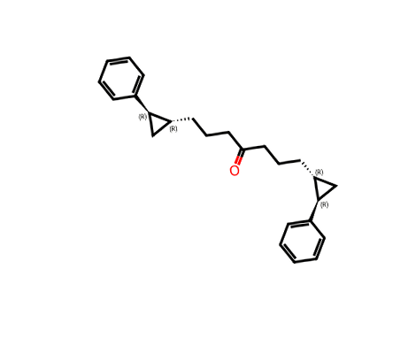 O=C(CCC[C@@H]1C[C@H]1c1ccccc1)CCC[C@@H]1C[C@H]1c1ccccc1